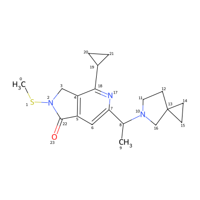 CSN1Cc2c(cc(C(C)N3CCC4(CC4)C3)nc2C2CC2)C1=O